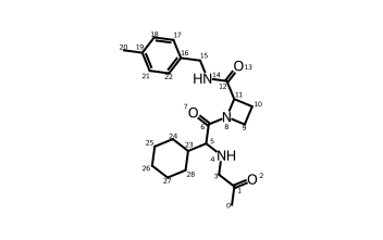 CC(=O)CNC(C(=O)N1CCC1C(=O)NCc1ccc(C)cc1)C1CCCCC1